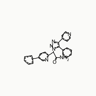 NC(=O)C(c1ccc(-c2ccccc2)cn1)n1nnc(-c2ccncc2)c1-c1ccccc1